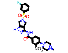 CN1CCN(c2ccc(C(=O)Nc3n[nH]c4c3CN(S(=O)(=O)c3cccc(F)c3)C4)cc2[N+](=O)[O-])CC1